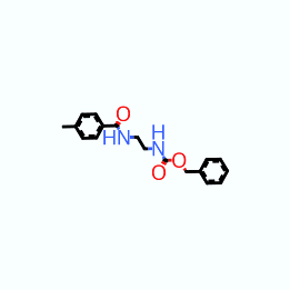 Cc1ccc(C(=O)NCCNC(=O)OCc2ccccc2)cc1